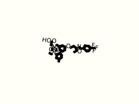 CCN(c1cccc(C)c1)S(=O)(=O)N(CC(=O)O)Cc1cccc(OCCc2nc(-c3ccc(C(F)(F)F)cc3)oc2C)c1